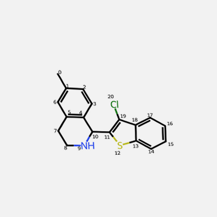 Cc1ccc2c(c1)CCNC2c1sc2ccccc2c1Cl